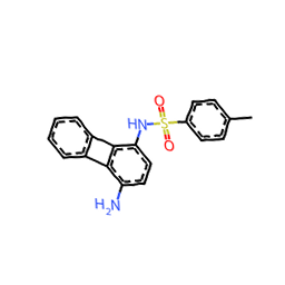 Cc1ccc(S(=O)(=O)Nc2ccc(N)c3c2-c2ccccc2-3)cc1